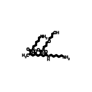 CC(CC(=O)CC(CC(=O)NCCCCCN)C(=O)NCCCOCCCO)C(=O)NCCCCCN